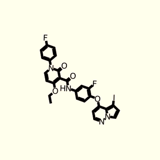 CCOc1ccn(-c2ccc(F)cc2)c(=O)c1C(=O)Nc1ccc(Oc2ccnn3ccc(I)c23)c(F)c1